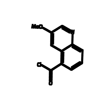 COc1cnc2cccc(C(=O)Cl)c2c1